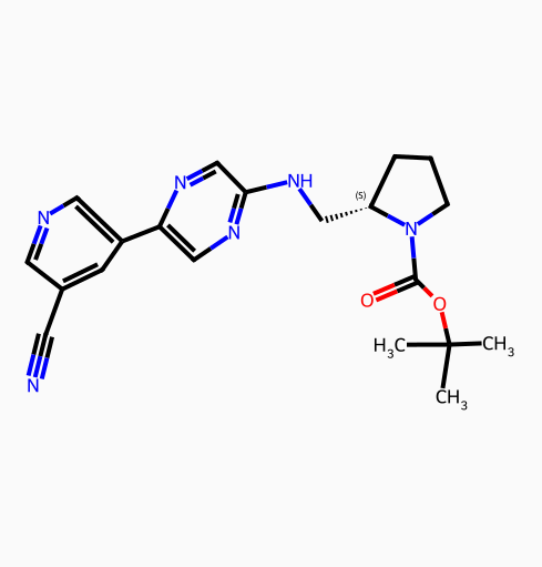 CC(C)(C)OC(=O)N1CCC[C@H]1CNc1cnc(-c2cncc(C#N)c2)cn1